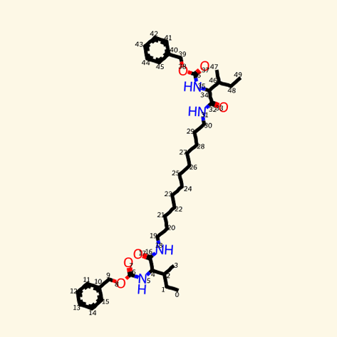 CCC(C)C(NC(=O)OCc1ccccc1)C(=O)NCCCCCCCCCCCCNC(=O)C(NC(=O)OCc1ccccc1)C(C)CC